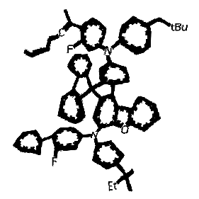 C/C=C\C=C=C(C)c1ccc(N(c2ccc(CC(C)(C)C)cc2)c2ccc3c(c2)C2(c4ccccc4-c4ccccc42)c2cc(N(c4ccc(C(C)(C)CC)cc4)c4ccc(-c5ccccc5)c(F)c4)c4oc5ccccc5c4c2-3)cc1F